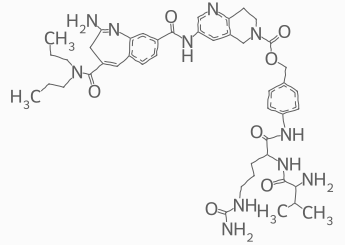 CCCN(CCC)C(=O)C1=Cc2ccc(C(=O)Nc3cnc4c(c3)CN(C(=O)OCc3ccc(NC(=O)C(CCCNC(N)=O)NC(=O)C(N)C(C)C)cc3)CC4)cc2N=C(N)C1